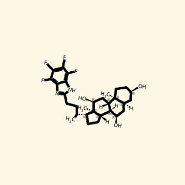 CC(CCc1nc2c(F)c(F)c(F)c(F)c2[nH]1)[C@H]1CC[C@H]2[C@@H]3[C@H](O)C[C@@H]4C[C@H](O)CC[C@]4(C)[C@H]3C[C@H](O)[C@]12C